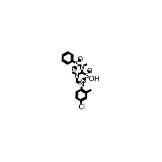 Cc1cc(Cl)ccc1N=CN(C)C(N(C)S(=O)(=O)c1ccccc1)S(=O)(=O)O